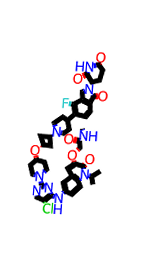 CNC(=O)COc1cc2cc(Nc3nc(N4CCC(O[C@H]5C[C@H](N6CCC(c7ccc8c(c7F)CN([C@H]7CCC(=O)NC7=O)C8=O)CC6)C5)CC4)ncc3Cl)ccc2n(C(C)C)c1=O